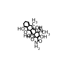 CC1C2=CCCC(O)=C2C(=O)C2=C(O)C3(O)C(=O)C(C(N)=O)=C(O)C(N(C)C)C3C(O)C21